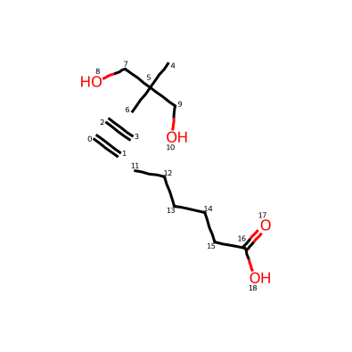 C=C.C=C.CC(C)(CO)CO.CCCCCC(=O)O